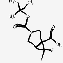 CC(C)(C)OC(=O)N1CC2C(F)(F)C2(C(=O)O)C1